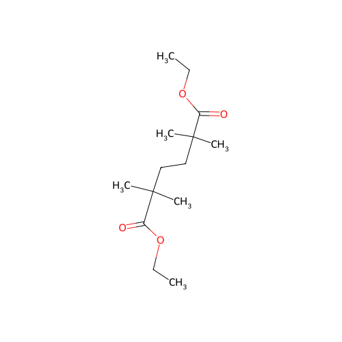 CCOC(=O)C(C)(C)CCC(C)(C)C(=O)OCC